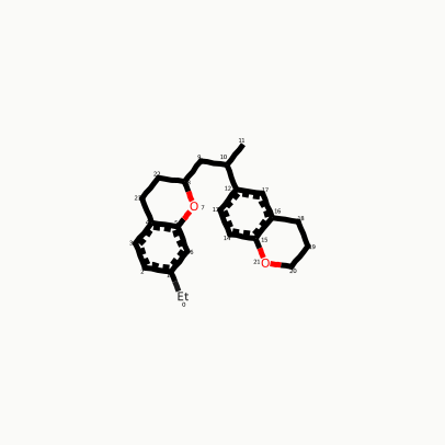 CCc1ccc2c(c1)OC(CC(C)c1ccc3c(c1)CCCO3)CC2